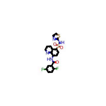 O=C(Nc1ccc(S(=O)(=O)Nc2nccs2)c2cccnc12)c1cc(F)ccc1F